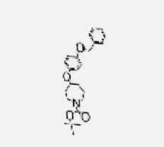 CC(C)(C)OC(=O)N1CCCC(Oc2ccc(OCc3ccccc3)cc2)CC1